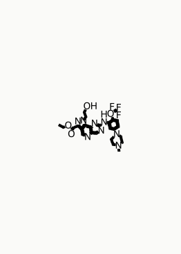 CCOC(=O)c1nn(CCO)c2c1cnc1cnc(Nc3cc(N4CCN(C)CC4)ccc3OC(F)(F)F)nc12